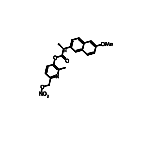 COc1ccc2cc([C@H](C)C(=O)Oc3ccc(CO[N+](=O)[O-])nc3C)ccc2c1